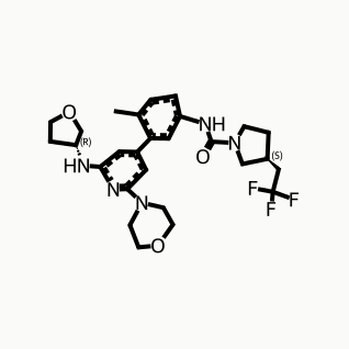 Cc1ccc(NC(=O)N2CC[C@@H](CC(F)(F)F)C2)cc1-c1cc(N[C@@H]2CCOC2)nc(N2CCOCC2)c1